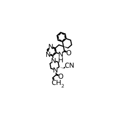 C=CC(=O)N1CCN(c2ncnc3c2NC(=O)[C@]2(CCCc4ccccc42)C3)C[C@@H]1CC#N